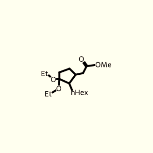 CCCCCCC1C(CC(=O)OC)CCC1(OCC)OCC